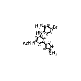 CC(=O)Nc1cc(Nc2ccc(Br)cc2N)cc(-c2cnn(C)c2)c1